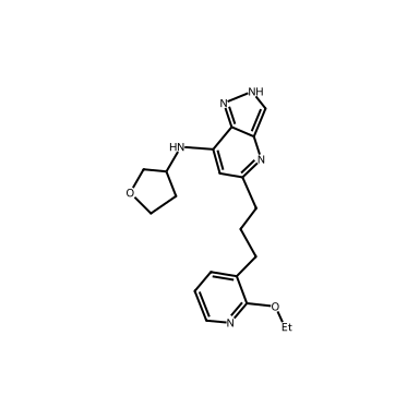 CCOc1ncccc1CCCc1cc(NC2CCOC2)c2n[nH]cc2n1